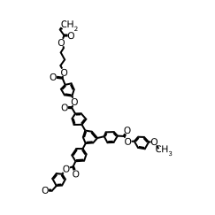 C=CC(=O)OCCCCOC(=O)c1ccc(OC(=O)c2ccc(-c3cc(-c4ccc(C(=O)Oc5ccc(C=O)cc5)cc4)cc(-c4ccc(C(=O)Oc5ccc(OC)cc5)cc4)c3)cc2)cc1